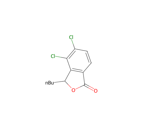 CCCCC1OC(=O)c2ccc(Cl)c(Cl)c21